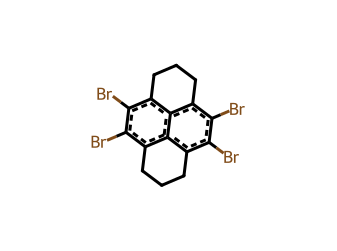 Brc1c(Br)c2c3c(c(Br)c(Br)c4c3c1CCC4)CCC2